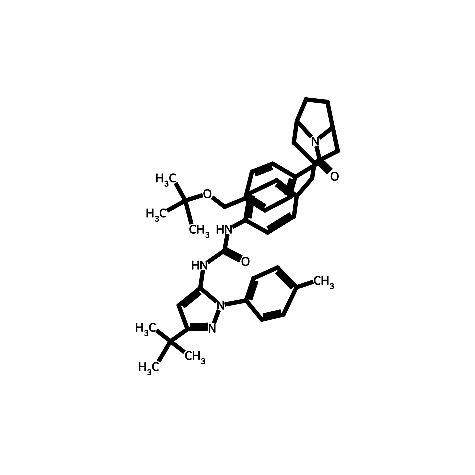 Cc1ccc(-n2nc(C(C)(C)C)cc2NC(=O)Nc2ccc(CC3CC4CCC(C3)N4C(=O)c3ccc(COC(C)(C)C)cc3)cc2)cc1